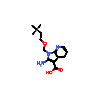 C[Si](C)(C)CCOCn1c(N)c(C(=O)O)c2cccnc21